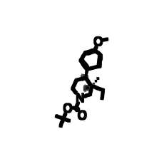 CC[C@@]1(C)CN(C(=O)OC(C)(C)C)CC[C@H]1c1ccc(OC)cc1